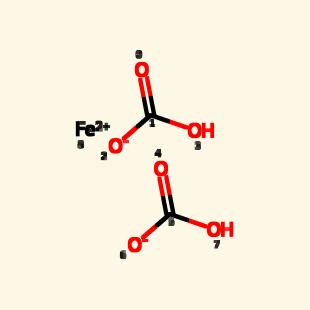 O=C([O-])O.O=C([O-])O.[Fe+2]